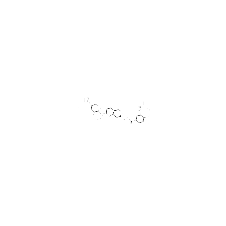 C[C@@H]1CCN1c1cnc2c(c1)OCCN2c1ccc2cnc(CNC(=O)c3cc(Cl)c4c(c3)S(=O)(=O)[C@@H](F)COC4)cc2n1